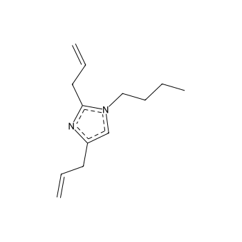 C=CCc1cn(CCCC)c(CC=C)n1